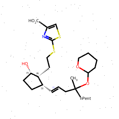 CCCCCC(C)(C/C=C/[C@@H]1CC[C@H](O)[C@@H]1CCSc1nc(C(=O)O)cs1)OC1CCCCO1